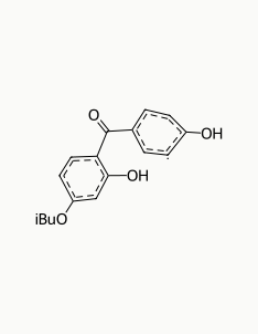 CC(C)COc1ccc(C(=O)c2c[c]c(O)cc2)c(O)c1